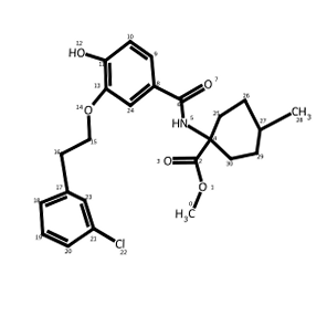 COC(=O)C1(NC(=O)c2ccc(O)c(OCCc3cccc(Cl)c3)c2)CCC(C)CC1